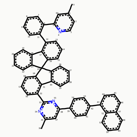 Cc1ccnc(-c2ccccc2-c2cccc3c2-c2ccccc2C32c3ccccc3-c3c(-c4nc(C)cc(-c5ccc(-c6cccc7ccccc67)cc5)n4)cccc32)c1